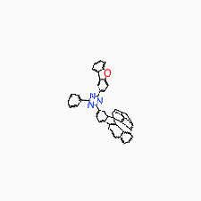 c1ccc(-c2nc(-c3ccc4c(c3)C3(c5c-4ccc4ccccc54)C4CC5CC(C4)CC3C5)nc(-c3ccc4oc5ccccc5c4c3)n2)cc1